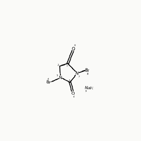 O=C1CN(Br)C(=O)N1Br.[NaH]